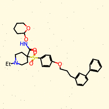 CCN1CCC(C(=O)NOC2CCCCO2)(S(=O)(=O)c2ccc(OCCCc3cccc(-c4ccccc4)c3)cc2)CC1